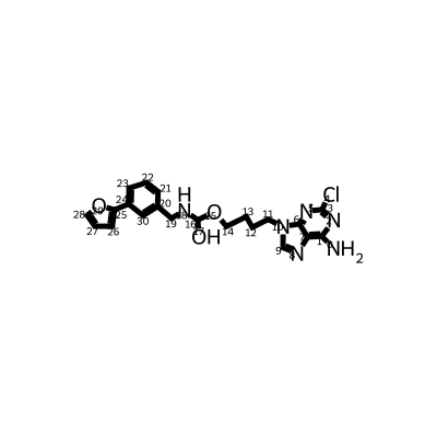 Nc1nc(Cl)nc2c1ncn2CCCCOC(O)NCc1cccc(-c2ccco2)c1